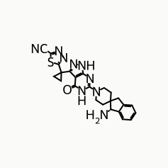 N#Cc1nnc(C2(c3n[nH]c4nc(N5CCC6(CC5)Cc5ccccc5[C@H]6N)[nH]c(=O)c34)CC2)s1